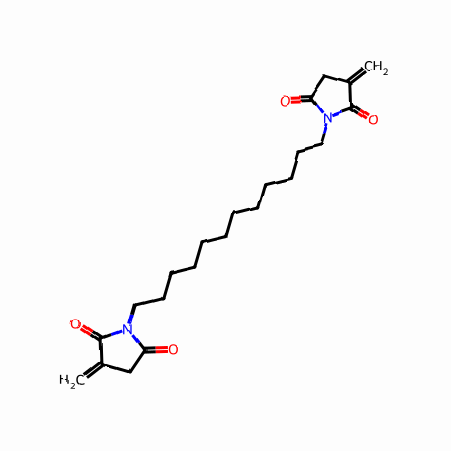 C=C1CC(=O)N(CCCCCCCCCCCCN2C(=O)CC(=C)C2=O)C1=O